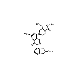 COC1Cc2cccc(-n3ncc4c(N5CCN(C(=O)OC(C)(C)C)C(CC#N)C5)nc(SC)nc4c3=O)c2C1